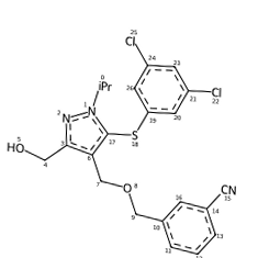 CC(C)n1nc(CO)c(COCc2cccc(C#N)c2)c1Sc1cc(Cl)cc(Cl)c1